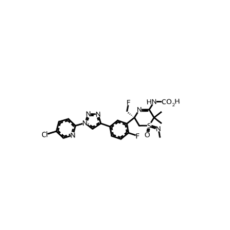 CN=S1(=O)C[C@@](CF)(c2cc(-c3cn(-c4ccc(Cl)cn4)nn3)ccc2F)N=C(NC(=O)O)C1(C)C